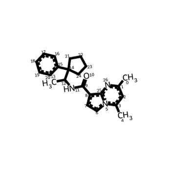 Cc1cc(C)n2ccc(C(=O)NC(C)C3(c4ccccc4)CCCC3)c2n1